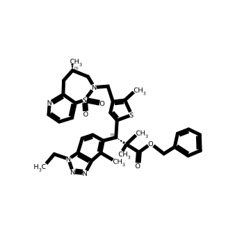 CCn1nnc2c(C)c([C@H](c3cc(CN4C[C@@H](C)Cc5ncccc5S4(=O)=O)c(C)s3)C(C)(C)C(=O)OCc3ccccc3)ccc21